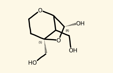 OCC1C2OCC[C@]1(CO)O[C@H]2O